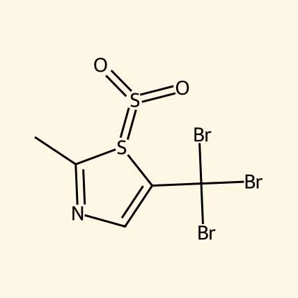 CC1=NC=C(C(Br)(Br)Br)S1=S(=O)=O